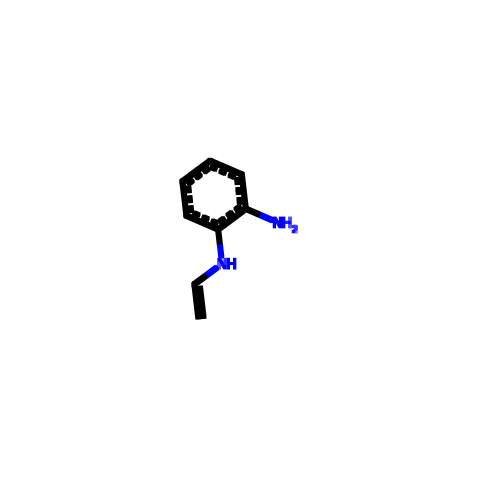 C=CNc1ccccc1N